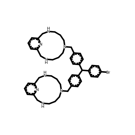 Brc1ccc(C(c2ccc(CN3CCCNCc4cccc(n4)CNCCC3)cc2)c2ccc(CN3CCCNCc4cccc(n4)CNCCC3)cc2)cc1